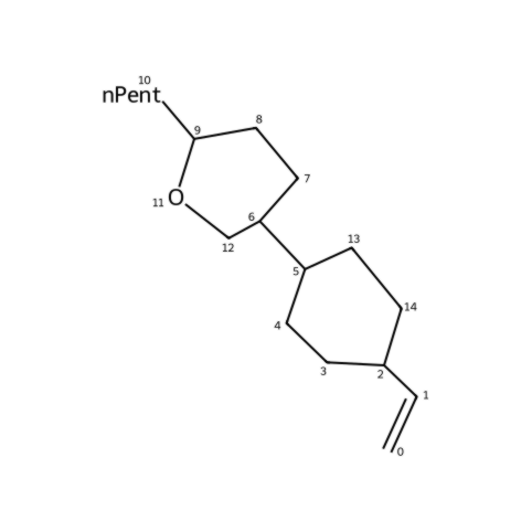 C=CC1CCC(C2CCC(CCCCC)OC2)CC1